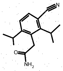 CC(C)c1ccc(C#N)c(C(C)C)c1CC(N)=O